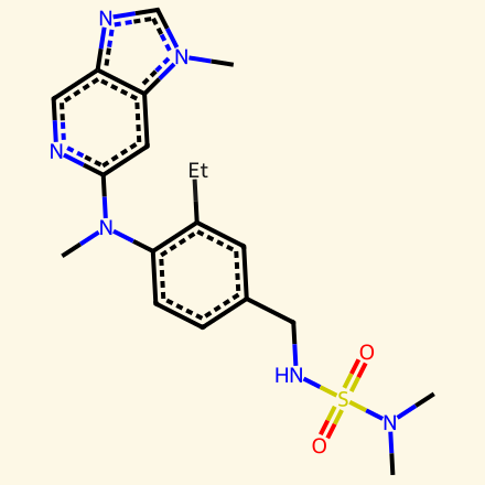 CCc1cc(CNS(=O)(=O)N(C)C)ccc1N(C)c1cc2c(cn1)ncn2C